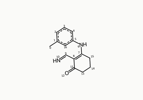 Cc1cccc(NC2=C(C=N)C(=O)CCC2)c1